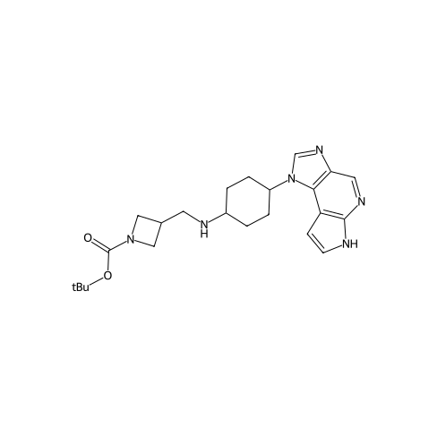 CC(C)(C)OC(=O)N1CC(CNC2CCC(n3cnc4cnc5[nH]ccc5c43)CC2)C1